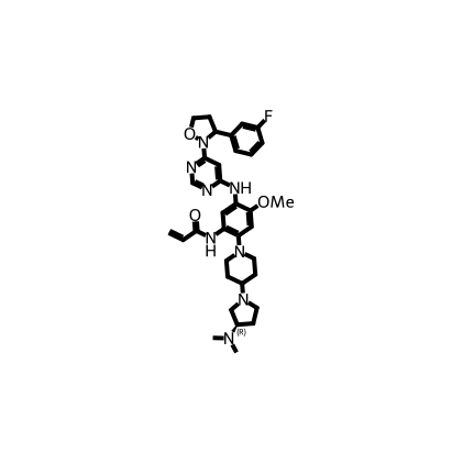 C=CC(=O)Nc1cc(Nc2cc(N3OCCC3c3cccc(F)c3)ncn2)c(OC)cc1N1CCC(N2CC[C@@H](N(C)C)C2)CC1